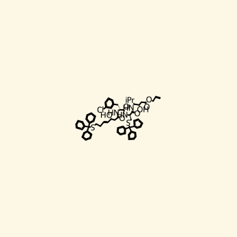 C=CCOC(=O)C[C@H](O)[C@H](NC(=O)[C@@H](CSC(c1ccccc1)(c1ccccc1)c1ccccc1)NC(=O)[C@@H](Cc1cccc(Cl)c1)NC(=O)C[C@H](O)C=CCCSC(c1ccccc1)(c1ccccc1)c1ccccc1)C(C)C